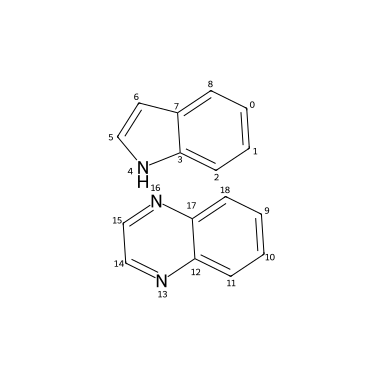 c1ccc2[nH]ccc2c1.c1ccc2nccnc2c1